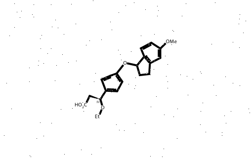 CCO[C@@H](CC(=O)O)c1ccc(OC2CCc3cc(OC)ccc32)cc1